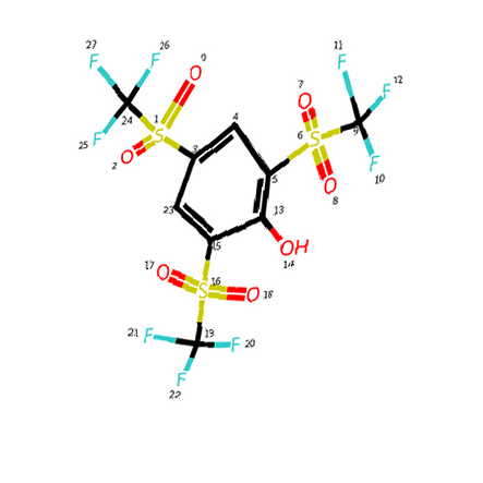 O=S(=O)(c1cc(S(=O)(=O)C(F)(F)F)c(O)c(S(=O)(=O)C(F)(F)F)c1)C(F)(F)F